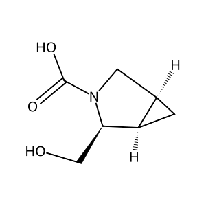 O=C(O)N1C[C@H]2C[C@H]2[C@H]1CO